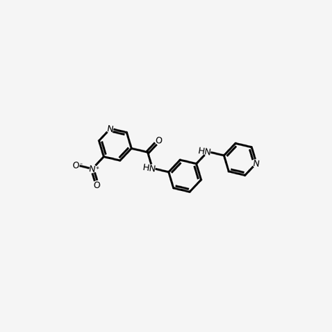 O=C(Nc1cccc(Nc2ccncc2)c1)c1cncc([N+](=O)[O-])c1